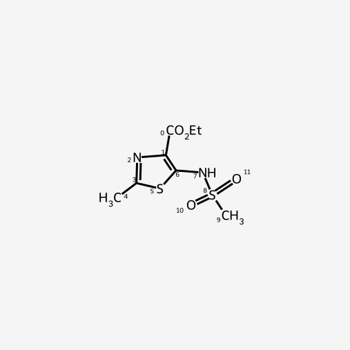 CCOC(=O)c1nc(C)sc1NS(C)(=O)=O